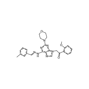 COc1ccccc1C(=O)Cn1cnc2c(N/N=C/c3cccc(C)c3)nc(N3CCOCC3)nc21